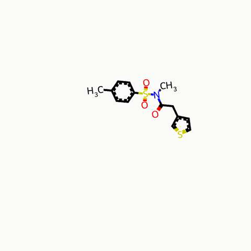 Cc1ccc(S(=O)(=O)N(C)C(=O)Cc2ccsc2)cc1